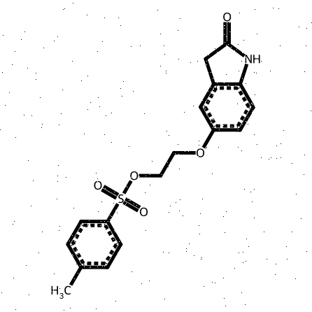 Cc1ccc(S(=O)(=O)OCCOc2ccc3c(c2)CC(=O)N3)cc1